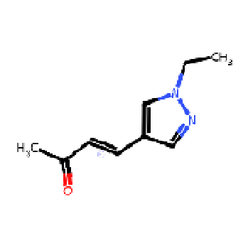 CCn1cc(/C=C/C(C)=O)cn1